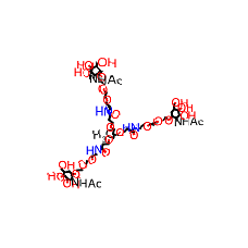 CC(=O)NC1C(OCCOCCOCCNC(=O)CCOCC(C)(COCCC(=O)NCCOCCOCCOC2CC(CO)C(O)C(O)C2NC(C)=O)COCCC(=O)NCCOCCOCCOC2CC(CO)C(O)C(O)C2NC(C)=O)CC(CO)C(O)C1O